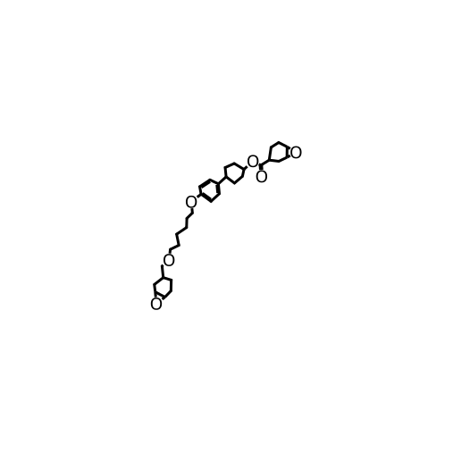 O=C(OC1CCC(c2ccc(OCCCCCCOCC3CCC4OC4C3)cc2)CC1)C1CCC2OC2C1